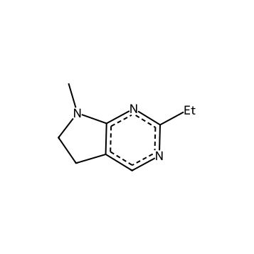 CCc1ncc2c(n1)N(C)CC2